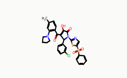 Cc1ccc(C(=O)C2=C(O)C(=O)N(c3ncc(S(=O)(=O)c4ccccc4)s3)C2c2cccc(Cl)c2)c(N2CCCC2)c1